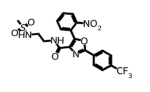 CS(=O)(=O)NCCNC(=O)c1nc(-c2ccc(C(F)(F)F)cc2)oc1-c1ccccc1[N+](=O)[O-]